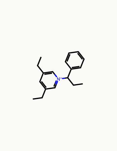 CCc1cc(CC)c[n+](C(CC)c2ccccc2)c1